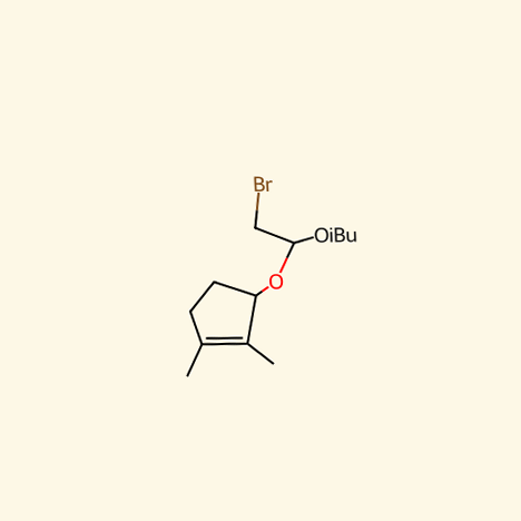 CC1=C(C)C(OC(CBr)OCC(C)C)CC1